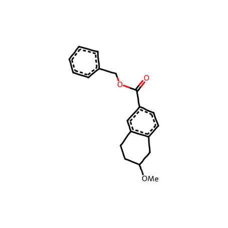 COC1CCc2cc(C(=O)OCc3ccccc3)ccc2C1